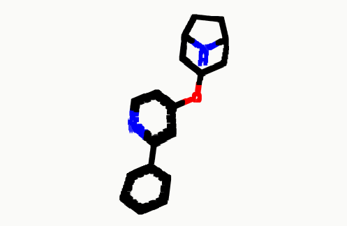 c1ccc(-c2cc(OC3CC4CCC(C3)N4)ccn2)cc1